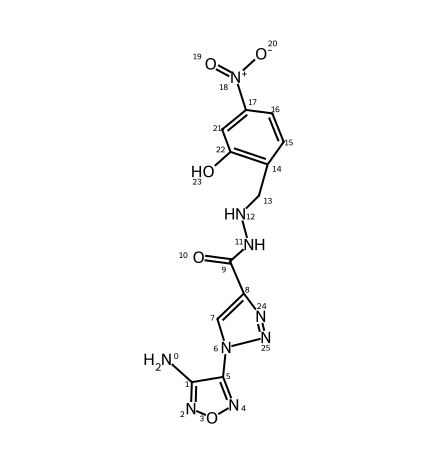 Nc1nonc1-n1cc(C(=O)NNCc2ccc([N+](=O)[O-])cc2O)nn1